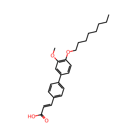 CCCCCCCCOc1ccc(-c2ccc(C=CC(=O)O)cc2)cc1OC